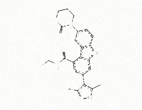 CCNC(=O)c1cc(-c2c(C)noc2C)cc2[nH]c3ccc(N4CCCOC4=O)cc3c12